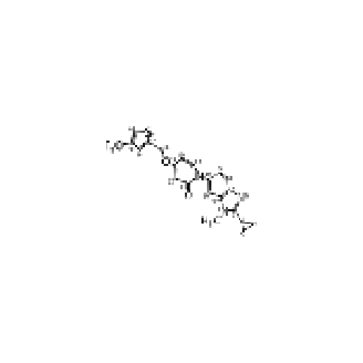 Cn1c(C2CC2)nc2ccc(-n3ccc(OCc4cc(C(F)(F)F)cs4)cc3=O)cc21